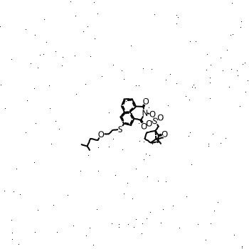 CC(C)CCOCCSc1cc2c3c(cccc3c1)C(=O)N(OS(=O)(=O)CC13CCC(CC1=O)C3(C)C)C2=O